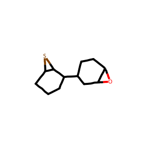 C1CC2SC2C(C2CCC3OC3C2)C1